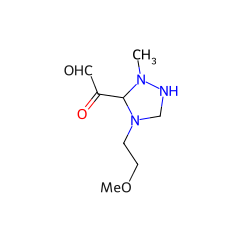 COCCN1CNN(C)C1C(=O)C=O